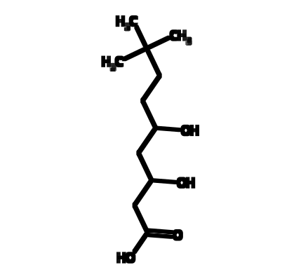 CC(C)(C)CCC(O)CC(O)CC(=O)O